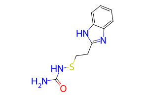 NC(=O)NSCCc1nc2ccccc2[nH]1